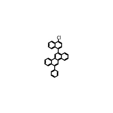 Clc1ccc(-c2cc3c4ccccc4c(-c4ccccc4)cc3c3ccccc23)c2ccccc12